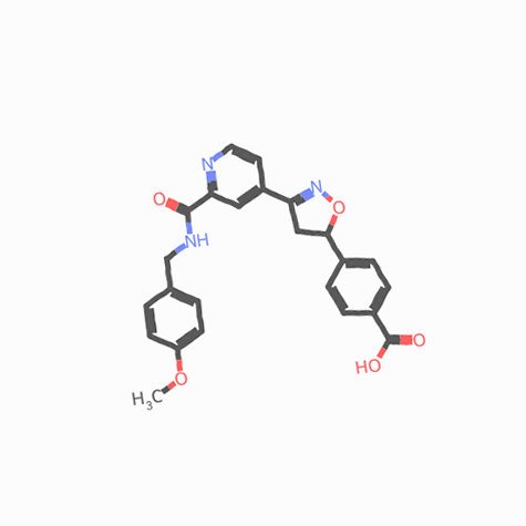 COc1ccc(CNC(=O)c2cc(C3=NOC(c4ccc(C(=O)O)cc4)C3)ccn2)cc1